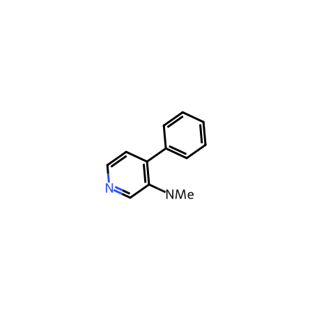 CNc1cnccc1-c1ccccc1